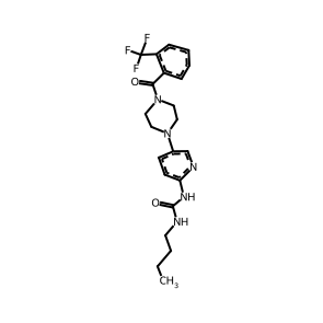 CCCCNC(=O)Nc1ccc(N2CCN(C(=O)c3ccccc3C(F)(F)F)CC2)cn1